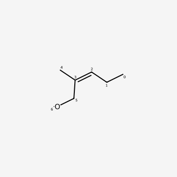 CCC=C(C)C[O]